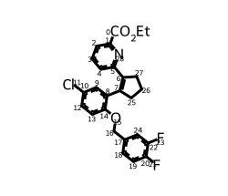 CCOC(=O)c1cccc(C2=C(c3cc(Cl)ccc3OCc3ccc(F)c(F)c3)CCC2)n1